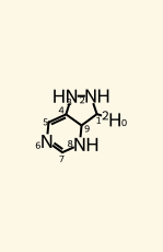 [2H]C1NNC2=CN=CNC21